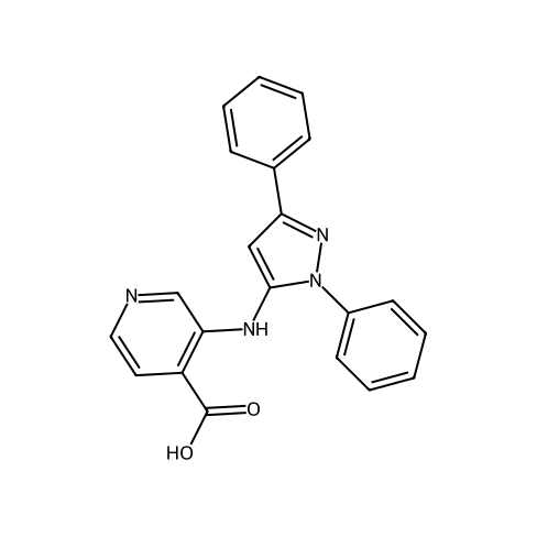 O=C(O)c1ccncc1Nc1cc(-c2ccccc2)nn1-c1ccccc1